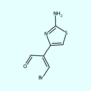 Nc1nc(C([C]=O)=CBr)cs1